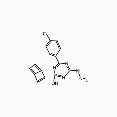 NNc1nc(O)nc(-c2ccc(Cl)cc2)n1.c1cc2ccc1-2